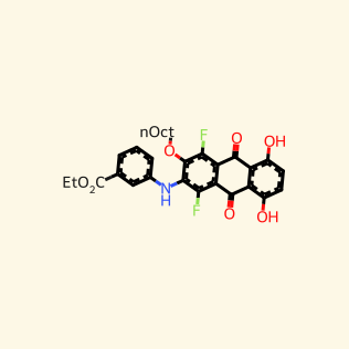 CCCCCCCCOc1c(F)c2c(c(F)c1Nc1cccc(C(=O)OCC)c1)C(=O)c1c(O)ccc(O)c1C2=O